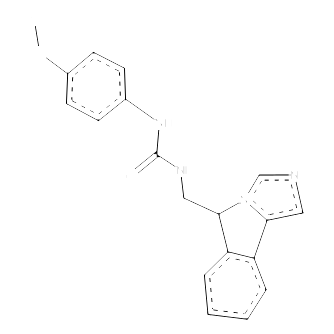 O=C(NCC1c2ccccc2-c2cncn21)Nc1ccc(OC(F)(F)F)cc1